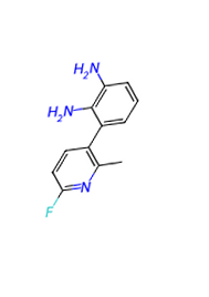 Cc1nc(F)ccc1-c1cccc(N)c1N